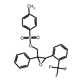 Cc1ccc(S(=O)(=O)OCC2(c3ccccc3)OC2c2ccccc2C(F)(F)F)cc1